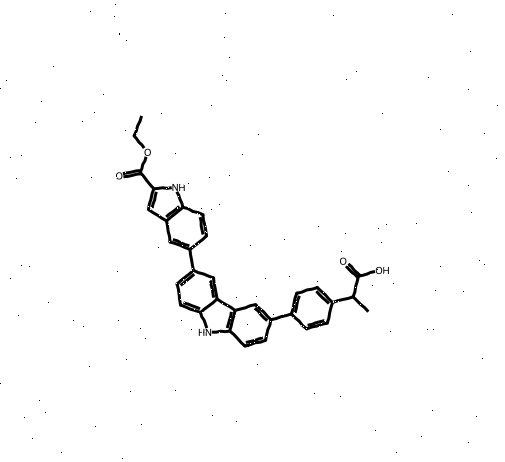 CCOC(=O)c1cc2cc(-c3ccc4[nH]c5ccc(-c6ccc(C(C)C(=O)O)cc6)cc5c4c3)ccc2[nH]1